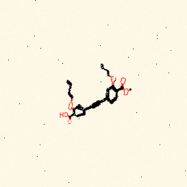 CCCCOc1cc(C#Cc2ccc(C(=O)OC)c(OCCCC)c2)ccc1C(=O)O